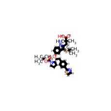 CC(C)(C)OC(=O)N1CCC[C@H]1C(Cc1ccc(-c2nccs2)cc1)Oc1ccc2[nH]c(CC(C)(C)C(=O)O)c(SC(C)(C)C)c2c1